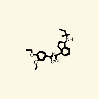 CCOc1ccc(-c2nc(-c3cccc4c3CCC4NC(C)(C)CC)no2)cc1OCC